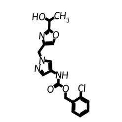 CC(O)c1nc(Cn2cc(NC(=O)OCc3ccccc3Cl)cn2)co1